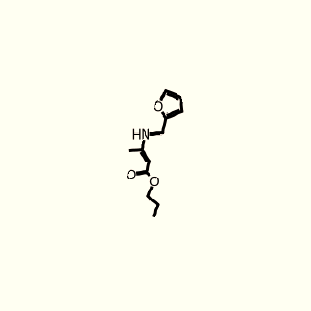 CCCOC(=O)C=C(C)NCc1ccco1